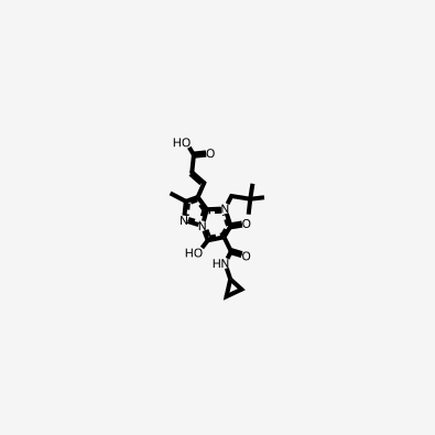 Cc1nn2c(O)c(C(=O)NC3CC3)c(=O)n(CC(C)(C)C)c2c1/C=C/C(=O)O